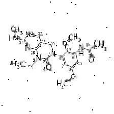 CCN1C(=O)N(c2cc(OC)cc(NC(C)=O)c2OC)Cc2cnc(NC)nc21